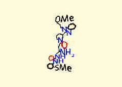 COCCCn1c([C@@H]2CCCN(C(=O)C[C@@H](N)CNC(=O)Nc3ccccc3SC)C2)nc2ccccc21